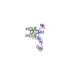 O=C(O)C1=C(CCc2nccs2)NC(CC(=O)N2CCN(CCCN3CCCC3=O)CC2)=C(C(=O)O)C1c1c(Cl)cccc1Cl